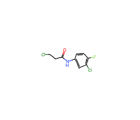 O=C(CCCl)Nc1ccc(F)c(Cl)c1